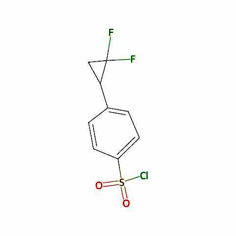 O=S(=O)(Cl)c1ccc(C2CC2(F)F)cc1